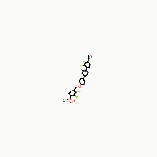 CCC(O)c1ccc(COC2CC=C(c3ccc(-c4ccc(C5CO5)c(F)c4F)c(F)c3F)CC2)c(F)c1F